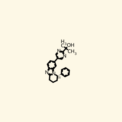 CC(C)(O)c1ncc(-c2ccc3nc4n(c3c2)[C@H](c2ccccc2)CCC4)cn1